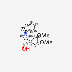 COc1ccc(C2(CCO)CCN(C(=O)c3ccccc3)C2)cc1OC